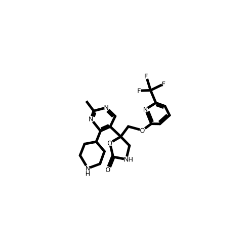 Cc1ncc(C2(COc3cccc(C(F)(F)F)n3)CNC(=O)O2)c(C2CCNCC2)n1